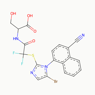 N#Cc1ccc(-n2c(Br)cnc2SC(F)(F)C(=O)NC(CO)C(=O)O)c2ccccc12